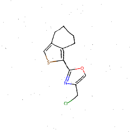 ClCc1coc(-c2scc3c2CCCC3)n1